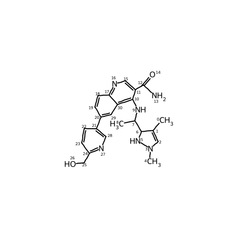 CC1=CN(C)NC1C(C)Nc1c(C(N)=O)cnc2ccc(-c3ccc(CO)nc3)cc12